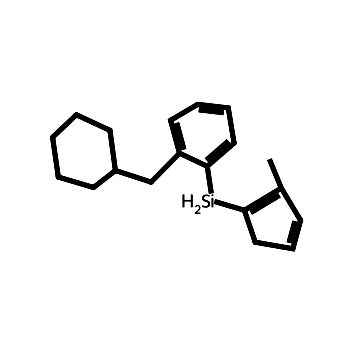 CC1=C([SiH2]c2ccccc2CC2CCCCC2)CC=C1